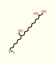 CCCCCCCC(CO)CCCCCCCCCC(O)CO